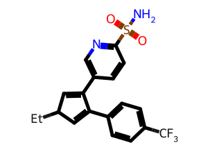 CCC1C=C(c2ccc(C(F)(F)F)cc2)C(c2ccc(S(N)(=O)=O)nc2)=C1